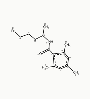 Cc1cc(C)c(C(=O)NC(C)CCCC(C)C)c(C)c1